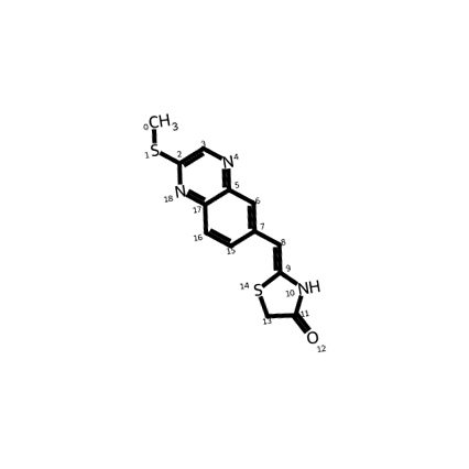 CSc1cnc2cc(C=C3NC(=O)CS3)ccc2n1